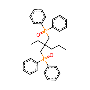 CCCC(CC)(CP(=O)(c1ccccc1)c1ccccc1)CP(=O)(c1ccccc1)c1ccccc1